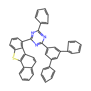 c1ccc(-c2cc(-c3ccccc3)cc(-c3nc(-c4ccccc4)nc(-c4cccc5sc6c7ccccc7ccc6c45)n3)c2)cc1